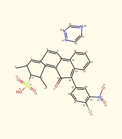 CC1C=c2ccc3c(c2C(C)C1S(=O)(=O)O)C(=O)C(c1ccc(Cl)c([N+](=O)[O-])c1)=c1ccccc1=3.c1cnncn1